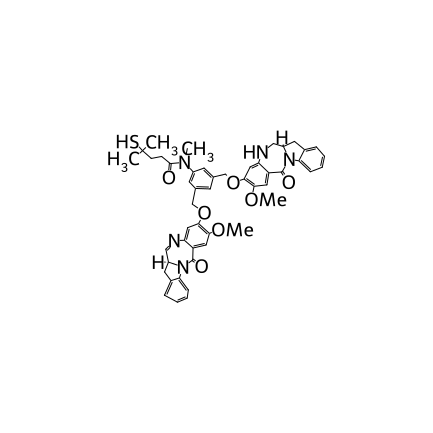 COc1cc2c(cc1OCc1cc(COc3cc4c(cc3OC)C(=O)N3c5ccccc5C[C@H]3CN4)cc(N(C)C(=O)CCC(C)(C)S)c1)N=C[C@@H]1Cc3ccccc3N1C2=O